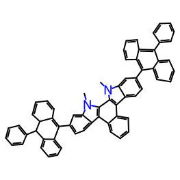 Cn1c2cc(C3=C4C=CC=CC4C(c4ccccc4)c4ccccc43)ccc2c2c3ccccc3c3c4ccc(-c5c6ccccc6c(-c6ccccc6)c6ccccc56)cc4n(C)c3c21